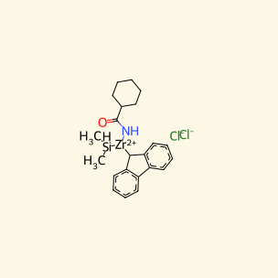 C[SiH](C)[Zr+2]([NH]C(=O)C1CCCCC1)[CH]1c2ccccc2-c2ccccc21.[Cl-].[Cl-]